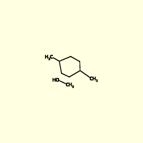 CC1CCC(C)CC1.CO